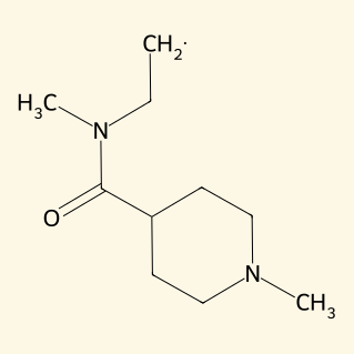 [CH2]CN(C)C(=O)C1CCN(C)CC1